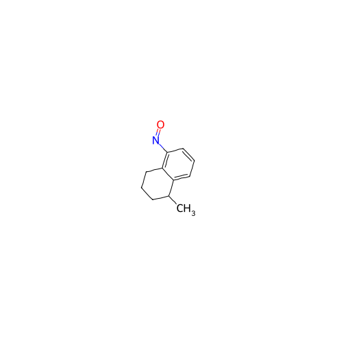 CC1CCCc2c(N=O)cccc21